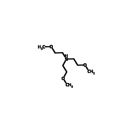 COCC[SiH](CCOC)CCOC